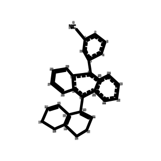 N#Cc1cccc(-c2c3c(c(C4=CCCC5=C4C=CCC5)c4ccccc24)C=C=C=C3)c1